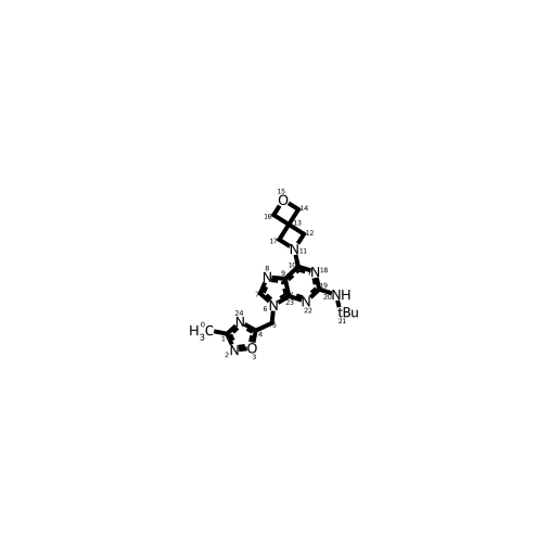 Cc1noc(Cn2cnc3c(N4CC5(COC5)C4)nc(NC(C)(C)C)nc32)n1